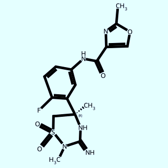 Cc1nc(C(=O)Nc2ccc(F)c([C@]3(C)CS(=O)(=O)N(C)C(=N)N3)c2)co1